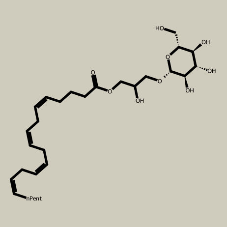 CCCCC/C=C\C/C=C\C/C=C\C/C=C\CCCC(=O)OCC(O)CO[C@@H]1O[C@H](CO)[C@@H](O)[C@H](O)[C@H]1O